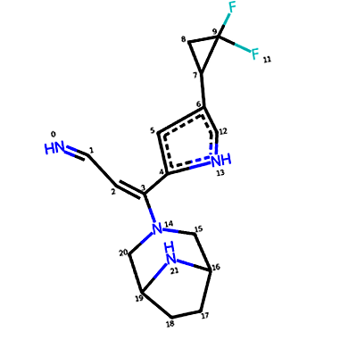 N=C/C=C(\c1cc(C2CC2(F)F)c[nH]1)N1CC2CCC(C1)N2